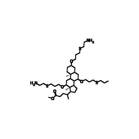 CCCSCCCO[C@@H]1CC2C[C@H](OCCCSCCN)CC[C@]2(C)C2C[C@H](OCCCSCCN)[C@]3(C)C(C(C)CCC(=O)OC)CCC3C21